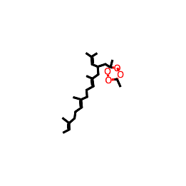 C/C=C(\C)CC/C=C(\C)CC/C=C(\C)CC(C=C(C)C)CC1(C)OOC(C)OO1